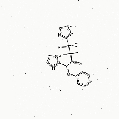 CC(C)(C(=O)C(Oc1ccccc1)c1ncc[nH]1)C(Cl)(Br)c1nc[nH]n1